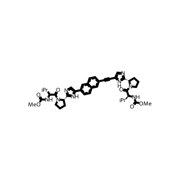 COC(=O)NC(C(=O)N1CCC[C@H]1c1ncc(-c2ccc3cc(C#Cc4cnc([C@@H]5CCCN5C(=O)[C@@H](NC(=O)OC)C(C)C)[nH]4)ccc3c2)[nH]1)C(C)C